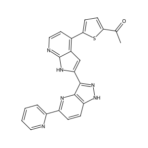 CC(=O)c1ccc(-c2ccnc3[nH]c(-c4n[nH]c5ccc(-c6ccccn6)nc45)cc23)s1